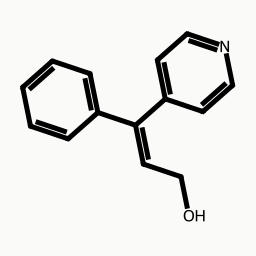 OCC=C(c1ccccc1)c1ccncc1